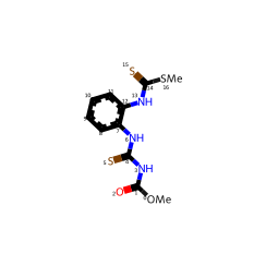 COC(=O)NC(=S)Nc1ccccc1NC(=S)SC